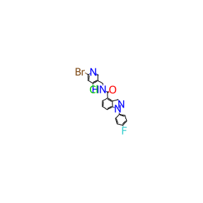 O=C(NCc1cnc(Br)cc1Cl)c1cccc2c1cnn2-c1ccc(F)cc1